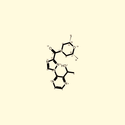 CC(O)c1nccnc1-n1cnc(C(=O)N2C[C@@H](C)O[C@@H](C)C2)n1